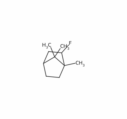 CC1(C)C2CCC1(C)C(F)C2